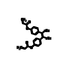 C=CC(=O)Oc1ccc(C(CCCC)=C(CCCC)c2ccc(OC(=O)C=C)cc2)cc1